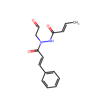 C/C=C/C(=O)NN(C[C]=O)C(=O)/C=C/c1ccccc1